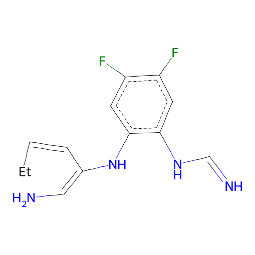 CC/C=C\C(=C/N)Nc1cc(F)c(F)cc1NC=N